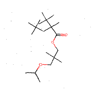 CC(C)OCC(C)(C)COC(=O)C(C)(CC(C)(C)C)C(C)(C)C